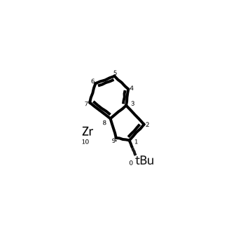 CC(C)(C)C1=Cc2ccccc2[CH]1.[Zr]